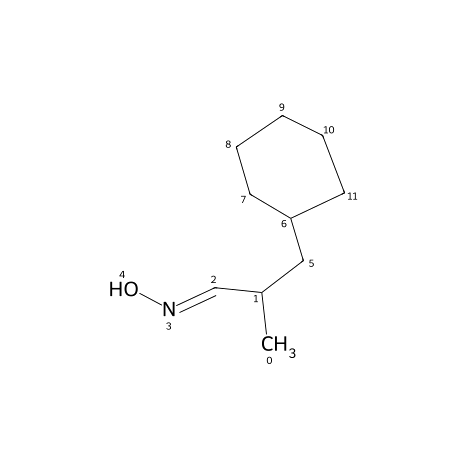 CC(C=NO)CC1CCCCC1